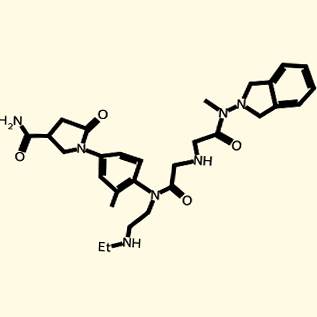 CCNCCN(C(=O)CNCC(=O)N(C)N1Cc2ccccc2C1)c1ccc(N2CC(C(N)=O)CC2=O)cc1C